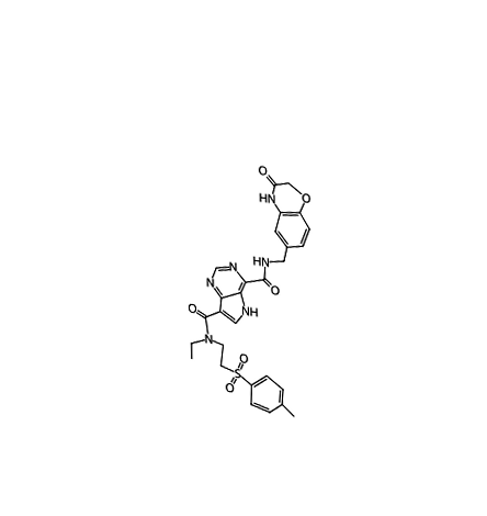 CCN(CCS(=O)(=O)c1ccc(C)cc1)C(=O)c1c[nH]c2c(C(=O)NCc3ccc4c(c3)NC(=O)CO4)ncnc12